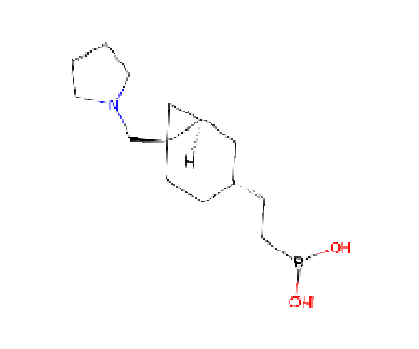 OB(O)CC[C@@H]1CC[C@]2(CN3CCCC3)C[C@H]2C1